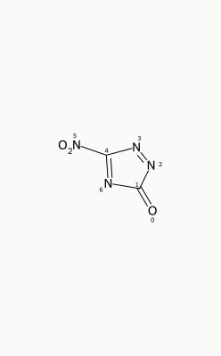 O=C1N=NC([N+](=O)[O-])=N1